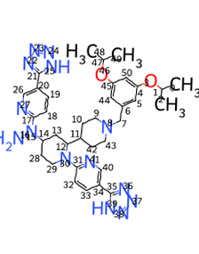 CC(C)Oc1cc(CN2CCC(C3CC(N(N)c4ccc(-c5nnn[nH]5)cn4)CCN3c3ccc(-c4nnn[nH]4)cn3)CC2)cc(OC(C)C)c1